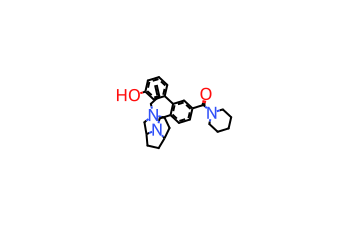 C=CCN1CCC2CCC(C1)N2Cc1ccc(C(=O)N2CCCCC2)cc1-c1cccc(O)c1